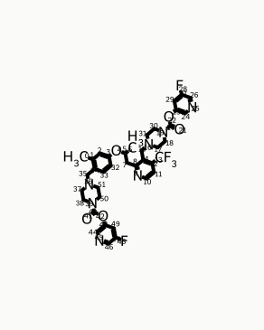 Cc1cc(OC(C)Cc2nccc(C(F)(F)F)c2CN2CCN(C(=O)Oc3cncc(F)c3)CC2)ccc1CN1CCN(C(=O)Oc2cncc(F)c2)CC1